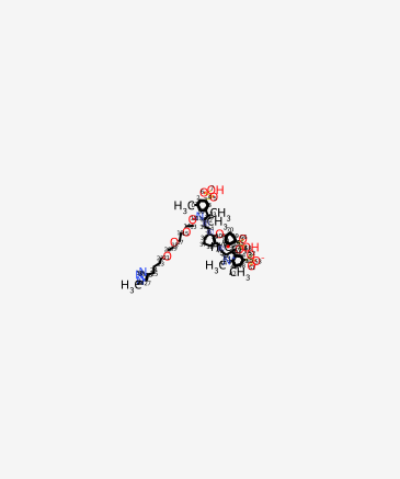 Cc1cc(S(=O)(=O)O)cc2c1N(OCCOCCOCCOCCCCc1cn(C)nn1)/C(=C/C=C1\CCCC(/C=C/C3=[N+](C)c4c(C)cc(S(=O)(=O)[O-])cc4C3(C)C)=C1Oc1ccc(S(=O)(=O)O)cc1)C2(C)C